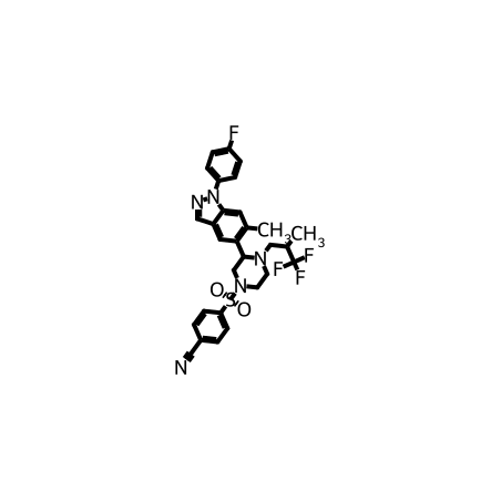 Cc1cc2c(cnn2-c2ccc(F)cc2)cc1C1CN(S(=O)(=O)c2ccc(C#N)cc2)CCN1CC(C)C(F)(F)F